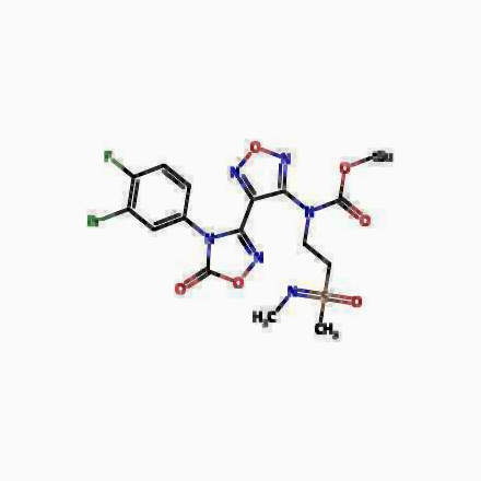 CN=S(C)(=O)CCN(C(=O)OC(C)(C)C)c1nonc1-c1noc(=O)n1-c1ccc(F)c(Br)c1